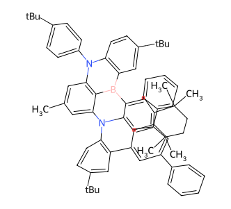 Cc1cc2c3c(c1)N(c1ccc(C(C)(C)C)cc1-c1cc(-c4ccccc4)cc(-c4ccccc4)c1)c1cc4c(cc1B3c1cc(C(C)(C)C)ccc1N2c1ccc(C(C)(C)C)cc1)C(C)(C)CCC4(C)C